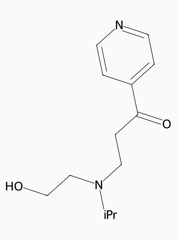 CC(C)N(CCO)CCC(=O)c1ccncc1